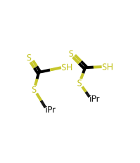 CC(C)SC(=S)S.CC(C)SC(=S)S